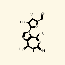 N=C1N=C(N)c2c(ncn2[C@@H]2O[C@H](CO)[C@@H](O)[C@H]2O)C(N)N1